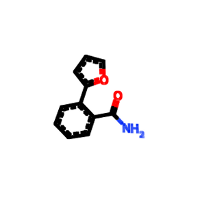 NC(=O)c1ccccc1-c1ccco1